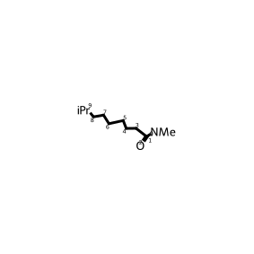 [CH2]NC(=O)CCCCCCC(C)C